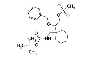 CC(C)(C)OC(=O)NCC1(C(COS(C)(=O)=O)OCc2ccccc2)CCCCC1